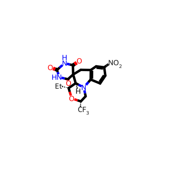 CC[C@H]1O[C@@H](C(F)(F)F)CN2c3ccc([N+](=O)[O-])cc3CC3(C(=O)NC(=O)NC3=O)[C@H]12